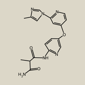 Cc1cn(-c2cc(Oc3ccc(NC(=O)C(C)C(N)=O)nc3)ccn2)cn1